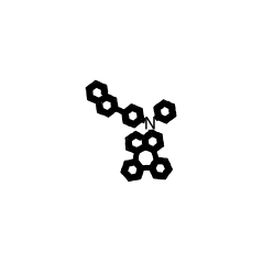 c1ccc(N(c2ccc(-c3ccc4ccccc4c3)cc2)c2ccc3c4c(cccc24)-c2ccccc2-c2ccccc2-3)cc1